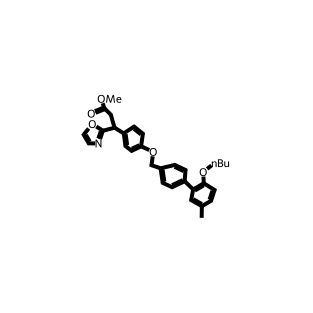 CCCCOc1ccc(C)cc1-c1ccc(COc2ccc(C(CC(=O)OC)c3ncco3)cc2)cc1